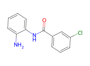 Nc1ccccc1NC(=O)c1cccc(Cl)c1